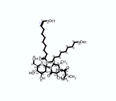 CCCCCCCC/C=C\CCCCCCCC(=O)N(CCCCCCCCCCCCCCCCCC)[C@@]1(N(C(=O)[C@H](C)N)C(=O)[C@H](C)NC(=O)[C@H](C)N)C[C@@H](O)[C@H](O)[C@@H](CO)O1